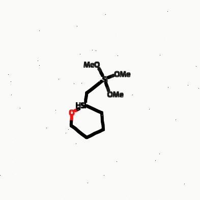 CO[Si](C[SiH]1CCCCO1)(OC)OC